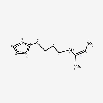 CS/C(=C/[N+](=O)[O-])NCCCSc1ncco1